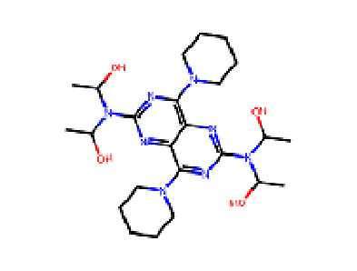 CC(O)N(c1nc(N2CCCCC2)c2nc(N(C(C)O)C(C)O)nc(N3CCCCC3)c2n1)C(C)O